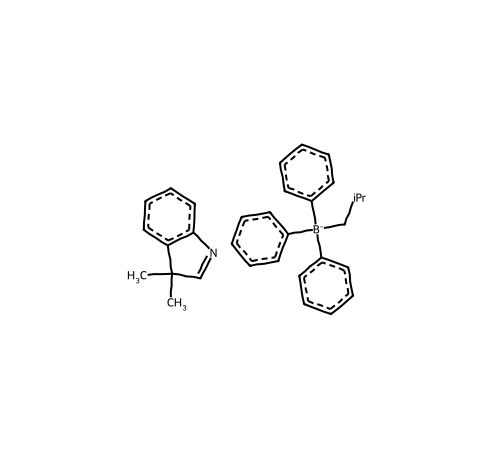 CC(C)C[B-](c1ccccc1)(c1ccccc1)c1ccccc1.CC1(C)C=Nc2ccccc21